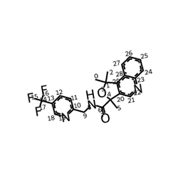 CC1(C)OC(C)(C(=O)NCc2ccc(C(F)(F)F)cn2)c2cnc3ccccc3c21